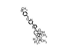 COc1ccc(COc2ccc(-n3ccc(N4CCO[C@H]([C@@](C)(O)C(=O)OC(C)(C)C)C4=O)n3)cn2)cc1